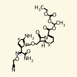 CCOC(=O)OC(C)OC(=O)C1=CCS[C@H]2C(COC[n+]3c(/C(=N/OCC#N)C(N)=O)csc3N)C(=O)N12